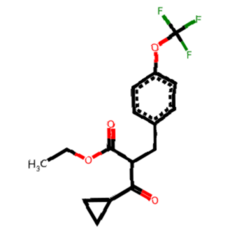 CCOC(=O)C(Cc1ccc(OC(F)(F)F)cc1)C(=O)C1CC1